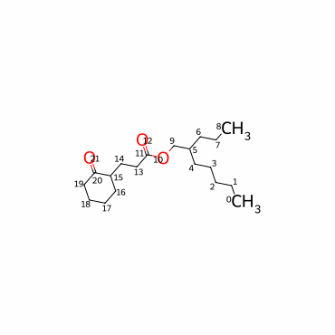 CCCCCC(CCC)COC(=O)CCC1CCCCC1=O